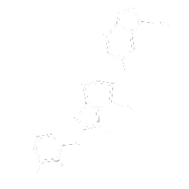 COc1n[nH]c2ncc(Oc3cnc4nc(Nc5cc(C(F)(F)F)cn(C)c5=O)n(C)c4c3C#N)cc12